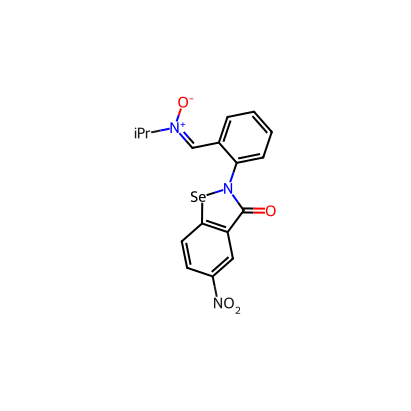 CC(C)[N+]([O-])=Cc1ccccc1-n1[se]c2ccc([N+](=O)[O-])cc2c1=O